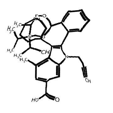 C#CCn1c(-c2ccccc2C(OF)O[Si](C(C)C)(C(C)C)C(C)C)c(C2CCCCC2)c2c(C)cc(C(=O)O)cc21